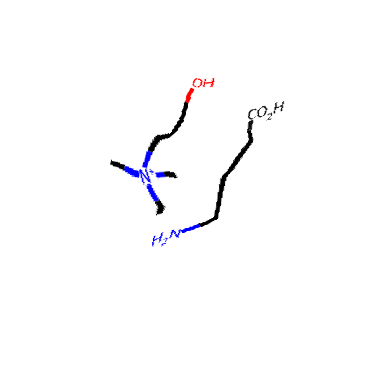 C[N+](C)(C)CCO.NCCCC(=O)O